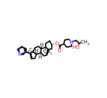 CC(O)CN1CCC(C(=O)O[C@H]2CC[C@@]3(C)C(=CC[C@@H]4[C@@H]3CC[C@]3(C)C(c5cccnc5)=CC[C@@H]43)C2)CC1